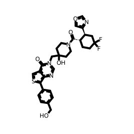 O=C([C@H]1CCC(F)(F)C[C@@H]1c1cocn1)N1CCC(O)(Cn2cnc3c(-c4ccc(CO)cc4)scc3c2=O)CC1